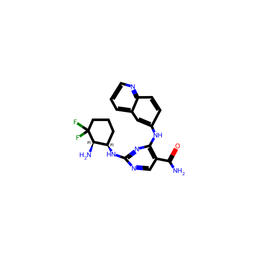 NC(=O)c1cnc(N[C@@H]2CCCC(F)(F)[C@@H]2N)nc1Nc1ccc2ncccc2c1